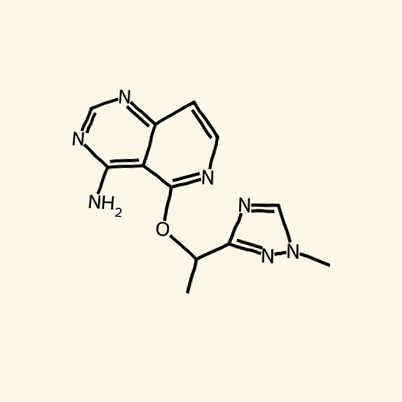 CC(Oc1nccc2ncnc(N)c12)c1ncn(C)n1